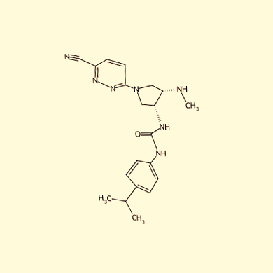 CN[C@H]1CN(c2ccc(C#N)nn2)C[C@H]1NC(=O)Nc1ccc(C(C)C)cc1